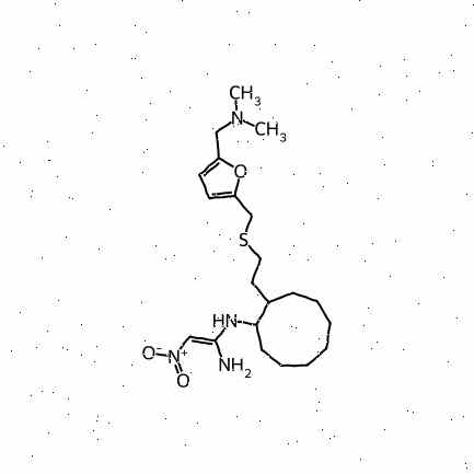 CN(C)Cc1ccc(CSCCC2CCCCCCCC2NC(N)=C[N+](=O)[O-])o1